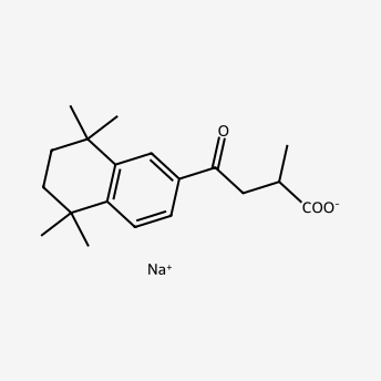 CC(CC(=O)c1ccc2c(c1)C(C)(C)CCC2(C)C)C(=O)[O-].[Na+]